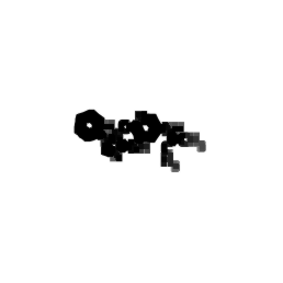 Cc1ncc(NC(C)C)cc1Nc1ncn(-c2ccccc2)n1